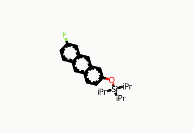 CC(C)[Si](Oc1ccc2cc3ccc(F)[c]c3cc2c1)(C(C)C)C(C)C